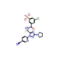 C[C@H](NC(=O)c1cc(Cl)cc(S(C)(=O)=O)c1)c1nc(N2CCCC2)nn1-c1ccc(C#N)cn1